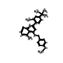 COc1ccc(COc2cc(-c3ccc(C(C)(C)C)cc3C)nc3ccnc(C)c23)cc1